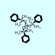 C[Si](C)(O[SiH](O[Si](C)(C)c1ccccc1)O[Si](C)(C)c1ccccc1)c1ccccc1